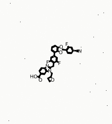 N#Cc1ccc(C2Oc3cccc(-c4cc(F)c(Cc5nc6ccc(C(=O)O)cc6n5CC5CCO5)c(F)c4)c3O2)c(F)c1